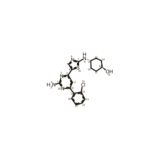 Nc1nc(-c2cnc(N[C@H]3CC[C@H](O)CC3)s2)cc(-c2ccccc2Cl)n1